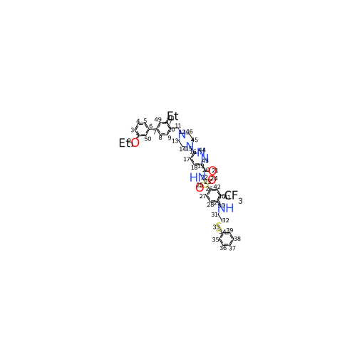 CCOc1cccc(-c2ccc(CN3CCN(c4ccc(C(=O)NS(=O)(=O)c5ccc(NCCSc6ccccc6)c(C(F)(F)F)c5)nn4)CC3)c(CC)c2)c1